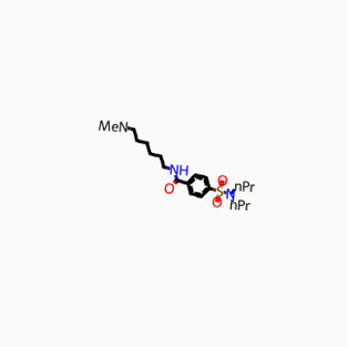 CCCN(CCC)S(=O)(=O)c1ccc(C(=O)NCCCCCCNC)cc1